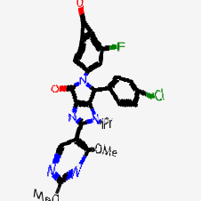 COc1ncc(-c2nc3c(n2C(C)C)C(c2ccc(Cl)cc2)N(c2cc(F)c4c(=O)c4c2)C3=O)c(OC)n1